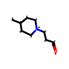 CC1CCN(CCC=O)CC1